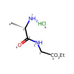 CCOC(=O)CNC(=O)[C@H](C)N.Cl